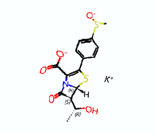 C[C@@H](O)[C@H]1C(=O)N2C(C(=O)[O-])=C(c3ccc([S+](C)[O-])cc3)S[C@H]12.[K+]